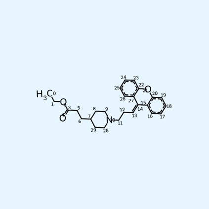 CCOC(=O)CCC1CCN(CCC=C2c3ccccc3Oc3ccccc32)CC1